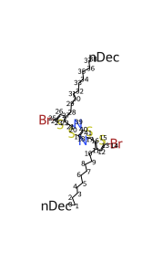 CCCCCCCCCCCCCCCCCCCCc1cc(Br)sc1-c1nc2sc(-c3sc(Br)cc3CCCCCCCCCCCCCCCCCCCC)nc2s1